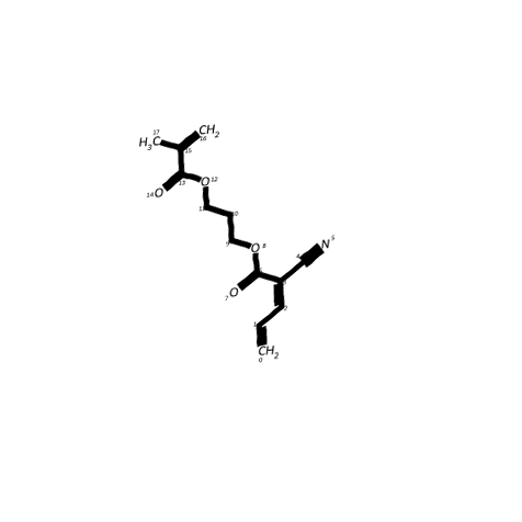 C=CC=C(C#N)C(=O)OCCCOC(=O)C(=C)C